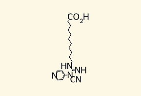 N#CN(C(=N)NCCCCCCCCCCC(=O)O)c1ccncc1